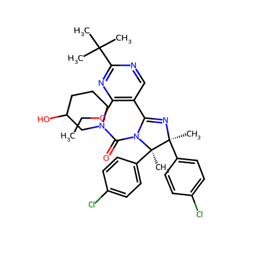 CCOc1nc(C(C)(C)C)ncc1C1=N[C@@](C)(c2ccc(Cl)cc2)[C@@](C)(c2ccc(Cl)cc2)N1C(=O)N1CCCC(O)C1